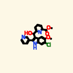 COC(=O)c1cccc(C(O)c2c(-c3cccnc3)[nH]c3cc(Cl)c(OC)cc23)n1